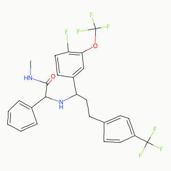 CNC(=O)C(NC(CCc1ccc(C(F)(F)F)cc1)c1ccc(F)c(OC(F)(F)F)c1)c1ccccc1